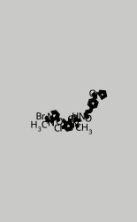 Cc1nc2c(OCc3c(Cl)ccc(N(C)C(=O)CNC(=O)C=Cc4ccc(C(=O)N5CCCC5)cc4)c3Cl)cccn2c1Br